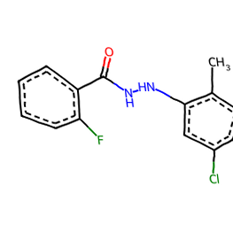 Cc1ccc(Cl)cc1NNC(=O)c1ccccc1F